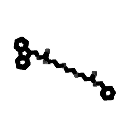 O=C(CCOCCOCCNC(=O)OCC1c2ccccc2-c2ccccc21)OCc1ccccc1